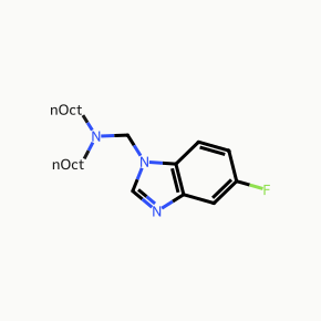 CCCCCCCCN(CCCCCCCC)Cn1cnc2cc(F)ccc21